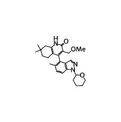 COCc1c(-c2c(C)ccc3c2cnn3C2CCCCO2)c2c([nH]c1=O)CC(C)(C)CC2